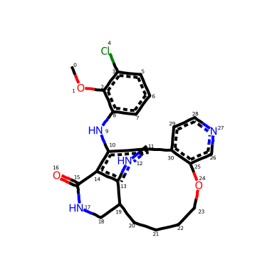 COc1c(Cl)cccc1Nc1c2[nH]c3c1C(=O)NCC3CCCCOc1cnccc1-2